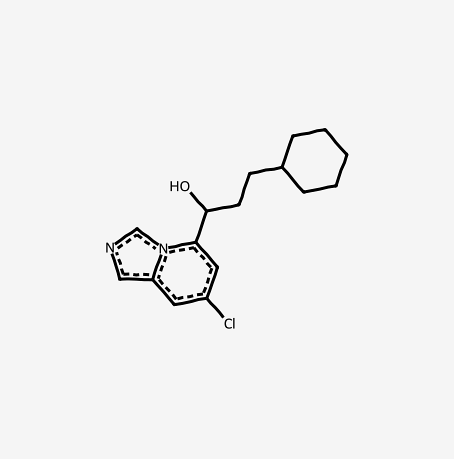 OC(CCC1CCCCC1)c1cc(Cl)cc2cncn12